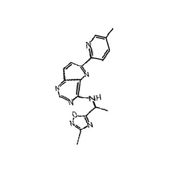 Cc1ccc(-c2ccc3ncnc(NC(C)c4nc(C)no4)c3n2)nc1